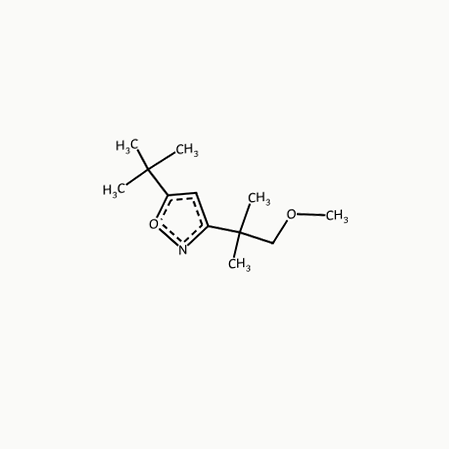 COCC(C)(C)c1cc(C(C)(C)C)on1